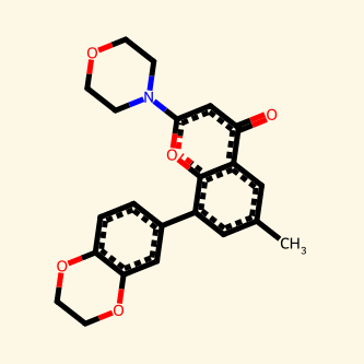 Cc1cc(-c2ccc3c(c2)OCCO3)c2oc(N3CCOCC3)cc(=O)c2c1